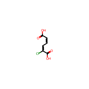 O=C(O)/C=C\C=C(\Cl)C(=O)O